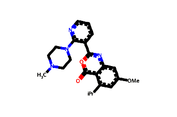 COc1cc(C(C)C)c2c(=O)oc(-c3cccnc3N3CCN(C)CC3)nc2c1